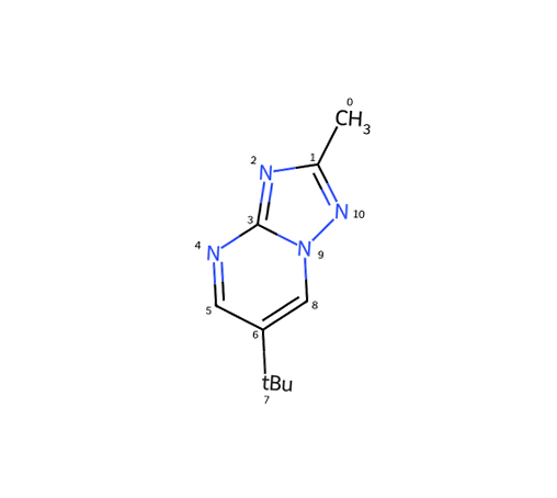 Cc1nc2ncc(C(C)(C)C)cn2n1